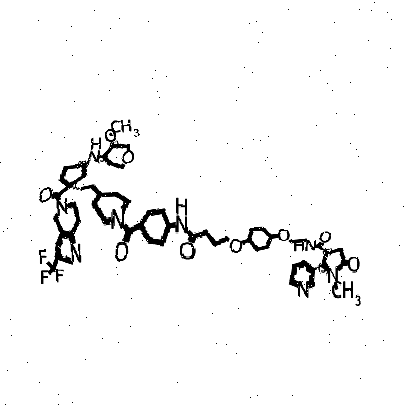 CO[C@@H]1COCC[C@@H]1N[C@@H]1CC[C@](CCC2CCN(C(=O)C3CCC(NC(=O)CCCOC4CCC(OCCNC(=O)[C@H]5CC(=O)N(C)[C@@H]5c5cccnc5)CC4)CC3)CC2)(C(=O)N2CCc3ncc(C(F)(F)F)cc3C2)C1